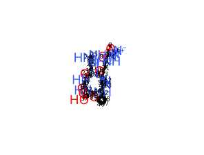 COCC(N=[N+]=[N-])C(=O)NCCCC[C@H]1C(=O)N[C@@H](CCCNC(=N)N)C(=O)NCC(=O)N[C@@H](CC(=O)O)C(=O)N[C@@H](Cc2ccccc2)c2cn1nn2